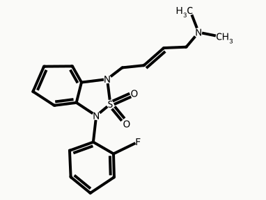 CN(C)C/C=C/CN1c2ccccc2N(c2ccccc2F)S1(=O)=O